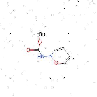 CC(C)(C)OC(=O)NN1C=CC=CO1